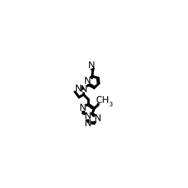 CCc1c(CC2CC=NN2c2cccc(C#N)n2)ncn2ncnc12